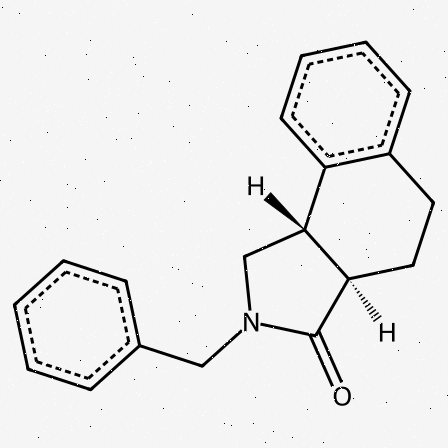 O=C1[C@@H]2CCc3ccccc3[C@H]2CN1Cc1ccccc1